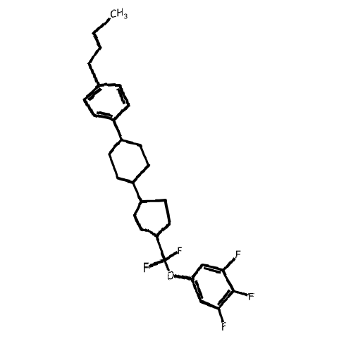 CCCCc1ccc(C2CCC(C3CCC(C(F)(F)Oc4cc(F)c(F)c(F)c4)CC3)CC2)cc1